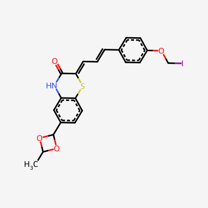 CC1OC(c2ccc3c(c2)NC(=O)C(=CC=Cc2ccc(OCI)cc2)S3)O1